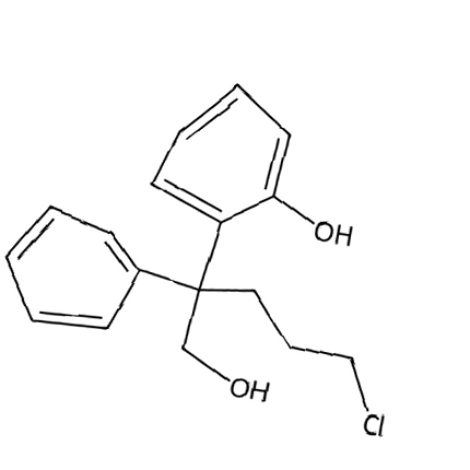 OCC(CCCCl)(c1ccccc1)c1ccccc1O